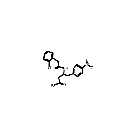 O=C(O)CC(Cc1ccc([N+](=O)[O-])cc1)NC(=O)Cc1ccccc1Cl